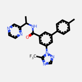 Cc1ccc(-c2cc(C(=O)NC(C)c3cnccn3)cc(-n3ncnc3C(F)(F)F)c2)cc1